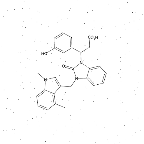 Cc1cccc2c1c(Cn1c(=O)n(C(CC(=O)O)c3cccc(O)c3)c3ccccc31)cn2C